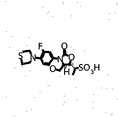 CC([C@H]1OC(=O)N2c3cc(F)c(N4CCSCC4)cc3OC[C@H]12)S(=O)(=O)O